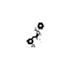 N#Cc1cccc(C[C@H](N)C(=O)OS(=O)(=O)c2ccccc2)c1